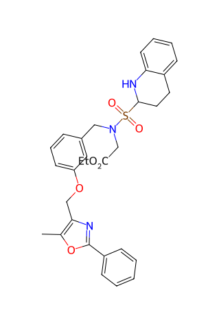 CCOC(=O)CN(Cc1cccc(OCc2nc(-c3ccccc3)oc2C)c1)S(=O)(=O)C1CCc2ccccc2N1